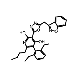 CCCCc1nc(O)c(-c2nnc(Cc3noc4ccccc34)o2)c(O)c1-c1c(CC)cccc1CC